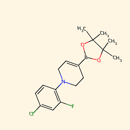 CC1(C)OB(C2=CCN(c3ccc(Cl)cc3F)CC2)OC1(C)C